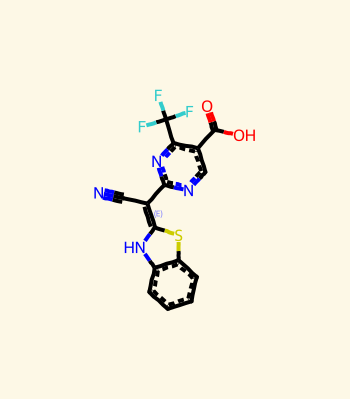 N#C/C(=C1\Nc2ccccc2S1)c1ncc(C(=O)O)c(C(F)(F)F)n1